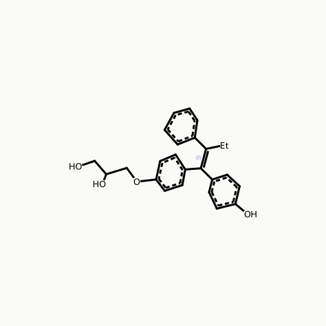 CC/C(=C(\c1ccc(O)cc1)c1ccc(OCC(O)CO)cc1)c1ccccc1